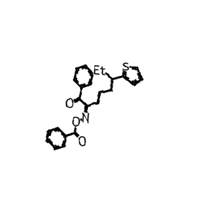 CCC(CCCC(=NOC(=O)c1ccccc1)C(=O)c1ccccc1)c1cccs1